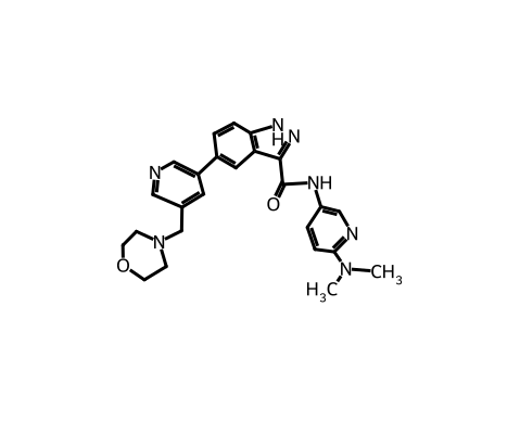 CN(C)c1ccc(NC(=O)c2n[nH]c3ccc(-c4cncc(CN5CCOCC5)c4)cc23)cn1